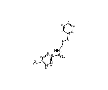 O=C(NCCCc1ccccc1)c1ccc(Cl)nn1